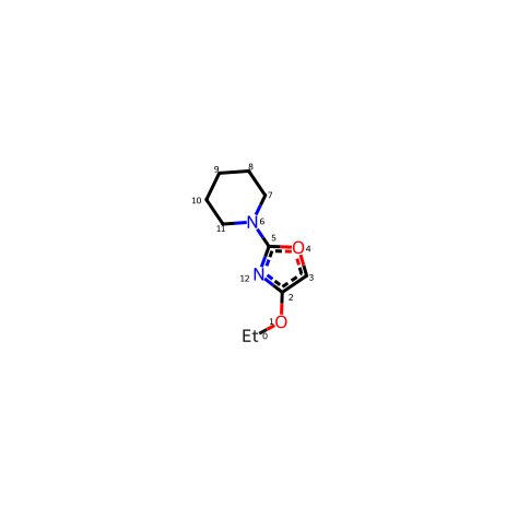 CCOc1coc(N2CCCCC2)n1